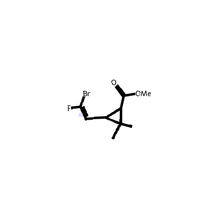 COC(=O)C1C(/C=C(/F)Br)C1(C)C